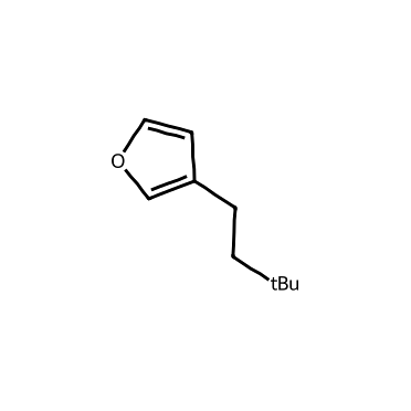 CC(C)(C)CCc1ccoc1